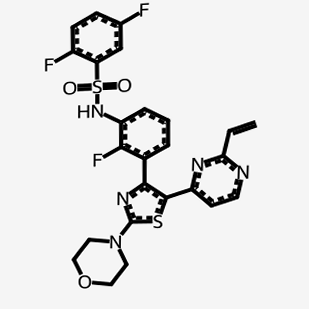 C=Cc1nccc(-c2sc(N3CCOCC3)nc2-c2cccc(NS(=O)(=O)c3cc(F)ccc3F)c2F)n1